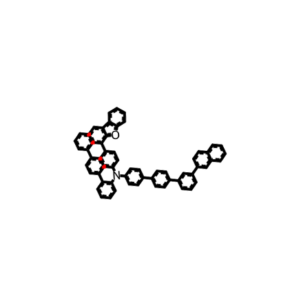 c1ccc(-c2ccc(-c3ccccc3N(c3ccc(-c4ccc(-c5cccc(-c6ccc7ccccc7c6)c5)cc4)cc3)c3ccc(-c4cccc5c4oc4ccccc45)cc3)cc2)cc1